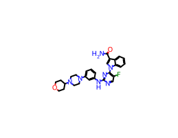 NC(=O)c1cn(-c2nc(Nc3cccc(N4CCN(C5CCOCC5)CC4)c3)ncc2F)c2ccccc12